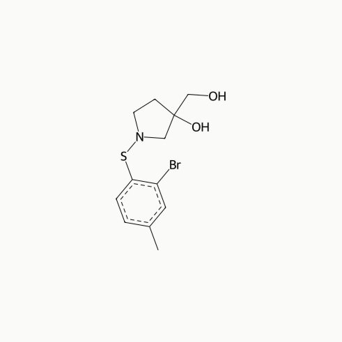 Cc1ccc(SN2CCC(O)(CO)C2)c(Br)c1